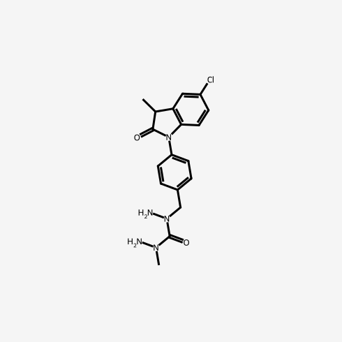 CC1C(=O)N(c2ccc(CN(N)C(=O)N(C)N)cc2)c2ccc(Cl)cc21